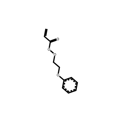 C=CC(=O)OOCCOc1ccccc1